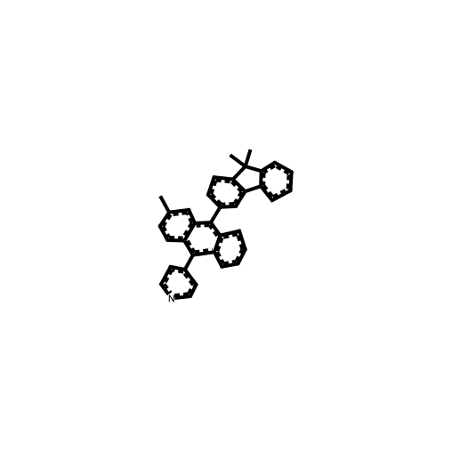 Cc1ccc2c(-c3ccncc3)c3ccccc3c(-c3ccc4c(c3)-c3ccccc3C4(C)C)c2c1